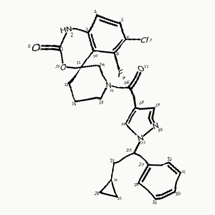 O=C1Nc2ccc(Cl)c(F)c2[C@@]2(CCCN(C(=O)c3cnn(C(CC4CC4)c4ccccc4)c3)C2)O1